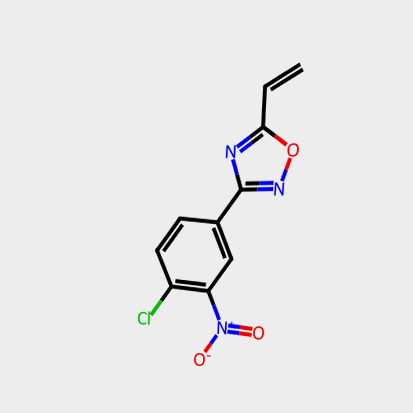 C=Cc1nc(-c2ccc(Cl)c([N+](=O)[O-])c2)no1